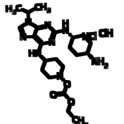 CCOC(=O)ON1CCC(Nc2nc(N[C@H]3CC[C@H](N)CC3)nc3c2ncn3C(C)C)CC1.Cl.Cl